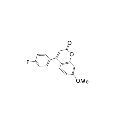 COc1ccc2c(-c3ccc(F)cc3)cc(=O)oc2c1